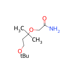 CC(C)(C)OCCC(C)(C)OCC(N)=O